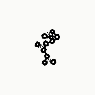 c1ccc(-n2c3ccccc3c3cc(-c4ccc5c(c4)c4cc(-c6cccc7c6-n6c(nc8ccccc86)C76c7ccccc7-c7ccccc76)ccc4n5-c4ccccc4)ccc32)cc1